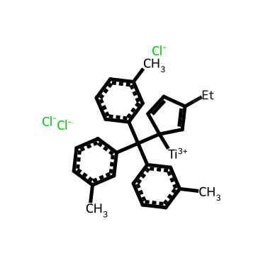 CCC1=C[C]([Ti+3])(C(c2cccc(C)c2)(c2cccc(C)c2)c2cccc(C)c2)C=C1.[Cl-].[Cl-].[Cl-]